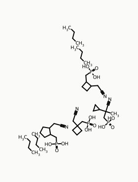 CC(C#N)(CP(=O)(O)O)C1CC1.CCCC.CCCC.CCCC.CCCC.N#CCC1(CP(=O)(O)O)CCC1.N#CCC1CCC1CP(=O)(O)O.N#CCC1CCCC1CP(=O)(O)O